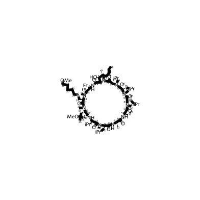 C/C=C/C[C@@H](C)[C@@H](O)[C@H]1C(=O)N[C@@H](CC)C(=O)N(C)[C@H](CSCCCCCOC)C(=O)N(C)[C@@H](CC(C)(C)OC)C(=O)N[C@@H](C(C)C)C(=O)N(C)[C@@H](CC(C)C)C(=O)N[C@@H](C)C(=O)N[C@H](C)C(=O)N(C)[C@@H](CC(C)C)C(=O)N(C)[C@@H](CC(C)C)C(=O)N(C)[C@@H](C(C)C)C(=O)N1C